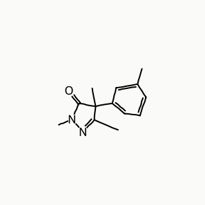 CC1=NN(C)C(=O)C1(C)c1cccc(C)c1